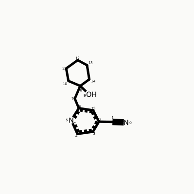 N#Cc1ccnc(CC2(O)CCCCC2)c1